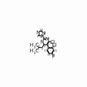 CC(C)Cc1nc(-n2cncn2)nc(Cl)c1-c1ccc(F)cc1Cl